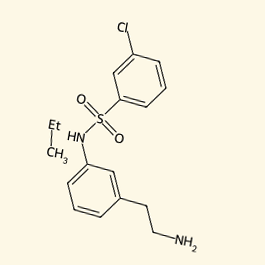 CCC.NCCc1cccc(NS(=O)(=O)c2cccc(Cl)c2)c1